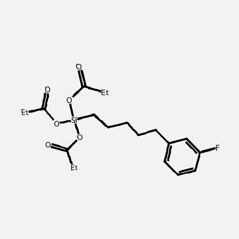 CCC(=O)O[Si](CCCCCc1cccc(F)c1)(OC(=O)CC)OC(=O)CC